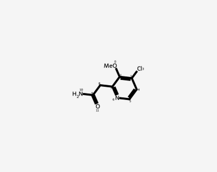 COc1c(Cl)ccnc1CC(N)=O